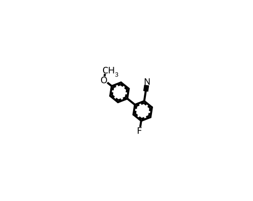 COc1ccc(-c2cc(F)ccc2C#N)cc1